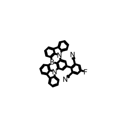 N#Cc1cc(F)cc(C#N)c1-c1cc2c3c(c1)-n1c4ccccc4c4cccc(c41)B3c1cccc3c4ccccc4n-2c13